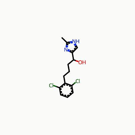 Cc1nc(C(O)CCCc2c(Cl)cccc2Cl)c[nH]1